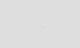 CC(=O)SCCCC(=O)N1CCC[C@H]1C(=O)O.O